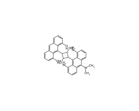 CN(C)c1c2cccc(N)c2c(C2C(O)C(c3c4c(O)cccc4cc4cccc(O)c34)C2O)c2c(N)cccc12